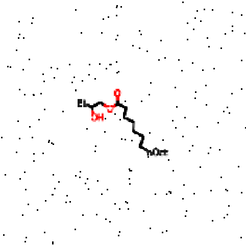 CCCCCCCCCCCCCCC(=O)OCC(O)CC